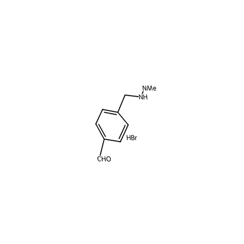 Br.CNNCc1ccc(C=O)cc1